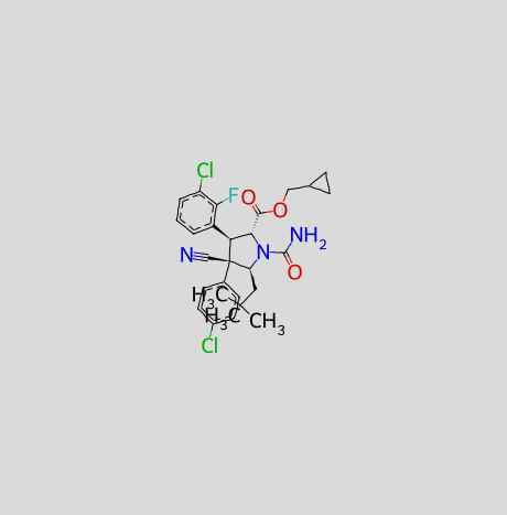 CC(C)(C)C[C@@H]1N(C(N)=O)[C@@H](C(=O)OCC2CC2)[C@H](c2cccc(Cl)c2F)[C@@]1(C#N)c1ccc(Cl)cc1